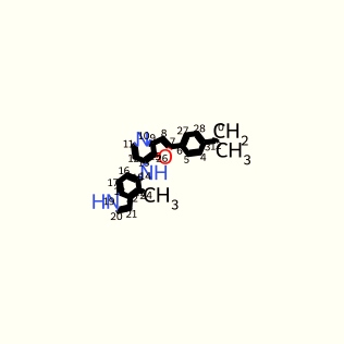 C=C(C)c1ccc(-c2cc3nccc(Nc4ccc5[nH]ccc5c4C)c3o2)cc1